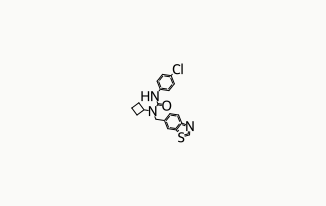 O=C(Nc1ccc(Cl)cc1)N(Cc1ccc2ncsc2c1)C1CCC1